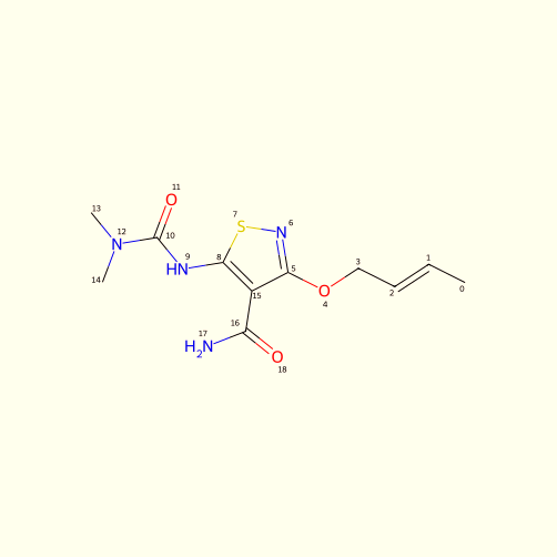 CC=CCOc1nsc(NC(=O)N(C)C)c1C(N)=O